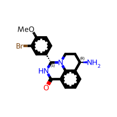 COc1ccc([C@H]2NC(=O)c3cccc4c3N2CC[C@H]4N)cc1Br